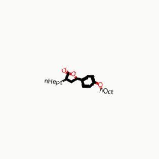 CCCCCCCCOc1ccc(C2CC(CCCCCCC)C(=O)O2)cc1